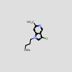 COCCCn1cc(Cl)c2cnc(C(=O)O)cc21